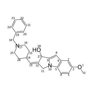 COc1ccc2c(c1)cc1n2CC(=CC2CCN(Cc3ccccc3)CC2)C1O